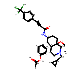 COC12CC[C@H](NC(=O)C#Cc3ccc(C(F)(F)F)cc3)C[C@]1(c1cccc(OC(C)=O)c1)CC[N@+](C)(CC1CC1)C2